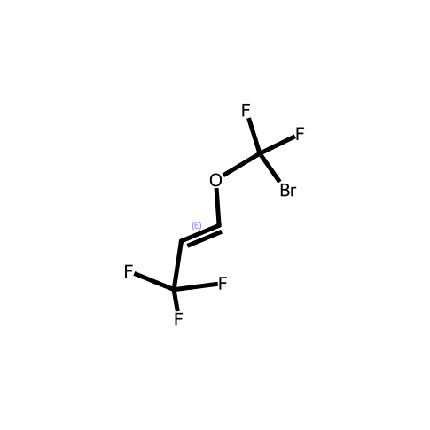 FC(F)(F)/C=C/OC(F)(F)Br